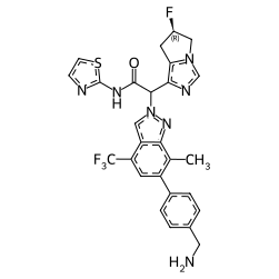 Cc1c(-c2ccc(CN)cc2)cc(C(F)(F)F)c2cn(C(C(=O)Nc3nccs3)c3ncn4c3C[C@@H](F)C4)nc12